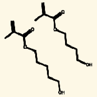 C=C(C)C(=O)OCCCCCO.C=C(C)C(=O)OCCCCO